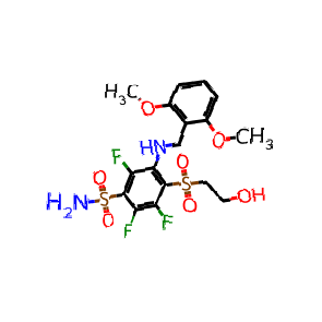 COc1cccc(OC)c1CNc1c(F)c(S(N)(=O)=O)c(F)c(F)c1S(=O)(=O)CCO